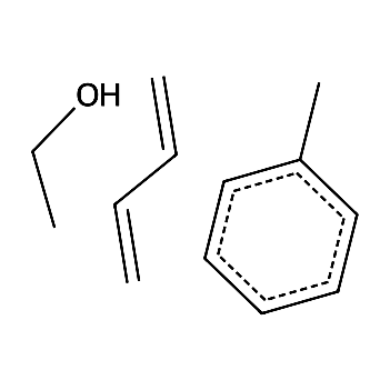 C=CC=C.CCO.Cc1ccccc1